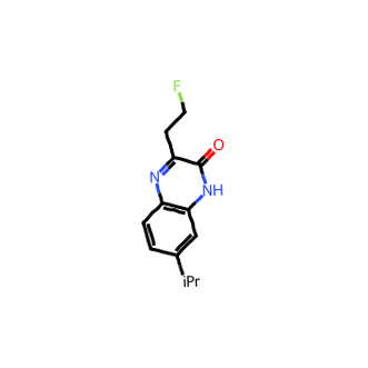 CC(C)c1ccc2nc(CCF)c(=O)[nH]c2c1